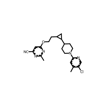 Cc1nc(C#N)cc(OCCC2CC2C2CCN(c3cc(C)c(Cl)cn3)CC2)n1